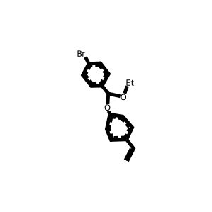 C=Cc1ccc(OC(OCC)c2ccc(Br)cc2)cc1